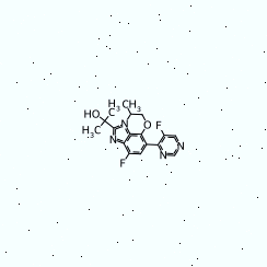 CC1COc2c(-c3ncncc3F)cc(F)c3nc(C(C)(C)O)n1c23